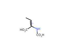 C/C=C(/NC(=O)O)C(=O)O